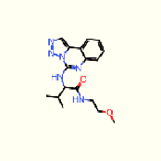 COCCNC(=O)[C@H](Nc1nc2ccccc2c2cnnn12)C(C)C